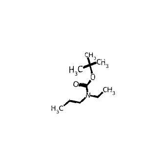 C[CH]CN(CC)C(=O)OC(C)(C)C